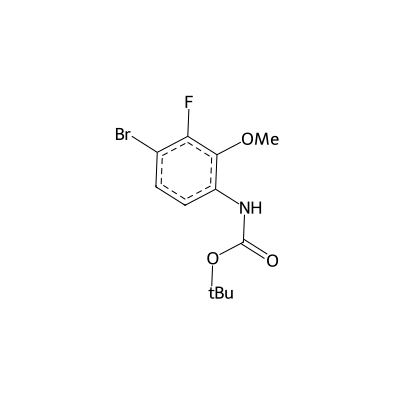 COc1c(NC(=O)OC(C)(C)C)ccc(Br)c1F